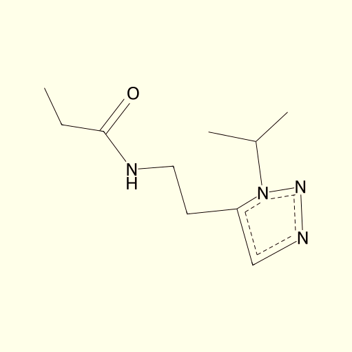 CCC(=O)NCCc1cnnn1C(C)C